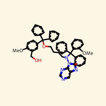 COc1ccc(C(OCCCCN(n2cnc3cncnc32)C(c2ccccc2)(c2ccccc2)c2ccccc2OC)(c2ccccc2)c2ccccc2)cc1CO